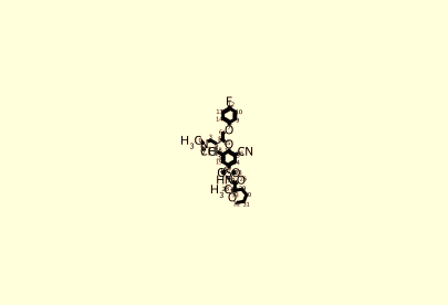 CN(C)CC[C@H](COc1ccc(F)cc1)Oc1c(Cl)cc(S(=O)(=O)NC(=O)[C@@]2(C)CCCCO2)cc1C#N